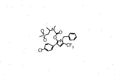 CC(CS(C)(=O)=O)N(C)C(=O)Oc1c(-c2ccc(Cl)cc2)cc(C(F)(F)F)n1Cc1ccccc1